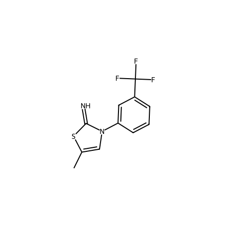 Cc1cn(-c2cccc(C(F)(F)F)c2)c(=N)s1